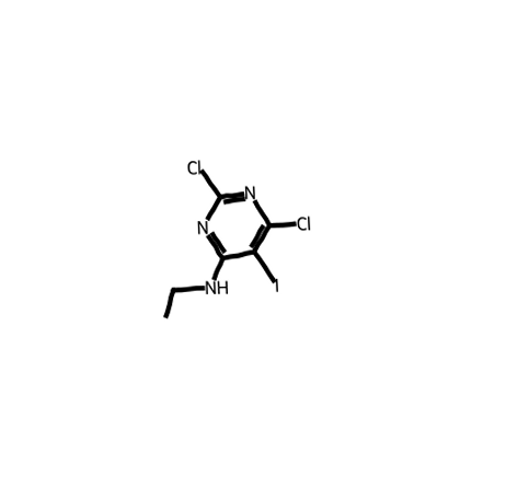 CCNc1nc(Cl)nc(Cl)c1I